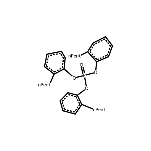 CCCCCc1ccccc1OP(=O)(Oc1ccccc1CCCCC)Oc1ccccc1CCCCC